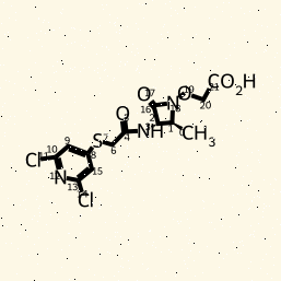 C[C@H]1[C@H](NC(=O)CSc2cc(Cl)nc(Cl)c2)C(=O)N1OCC(=O)O